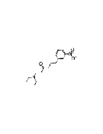 CCN(CC)CCC(=O)CCCc1cccc([N+](=O)[O-])c1